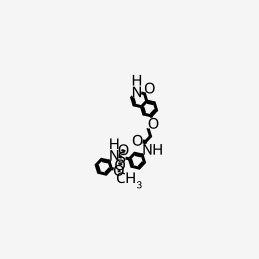 COc1ccccc1NS(=O)(=O)c1cccc(NC(=O)CCOc2ccc3c(=O)[nH]ccc3c2)c1